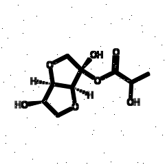 CC(O)C(=O)O[C@@]1(O)CO[C@@H]2[C@H](O)CO[C@@H]21